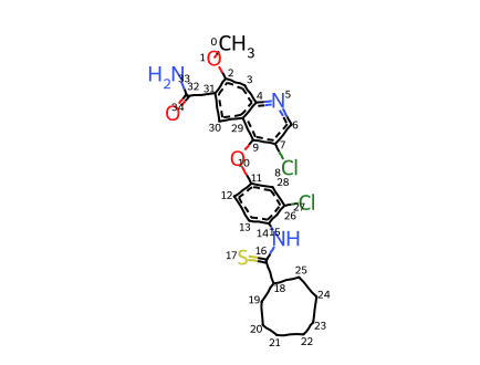 COc1cc2ncc(Cl)c(Oc3ccc(NC(=S)C4CCCCCCC4)c(Cl)c3)c2cc1C(N)=O